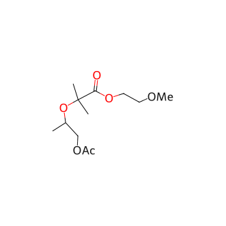 COCCOC(=O)C(C)(C)OC(C)COC(C)=O